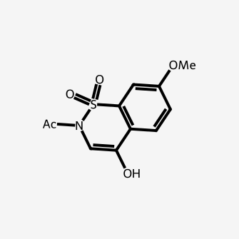 COc1ccc2c(c1)S(=O)(=O)N(C(C)=O)C=C2O